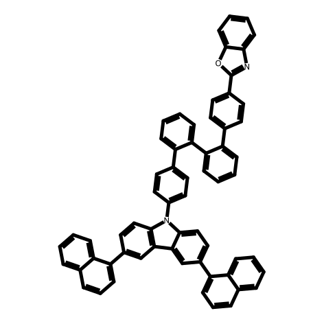 c1ccc(-c2ccccc2-c2ccc(-n3c4ccc(-c5cccc6ccccc56)cc4c4cc(-c5cccc6ccccc56)ccc43)cc2)c(-c2ccc(-c3nc4ccccc4o3)cc2)c1